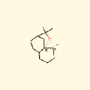 C[C@@H]1CCCC2CCC3C[C@]21OC3(C)C